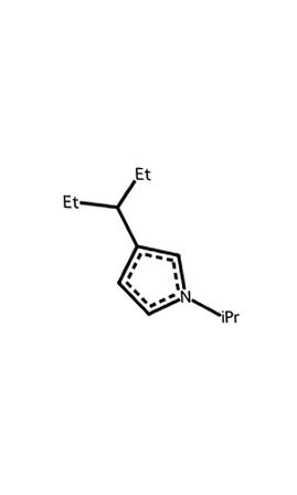 CCC(CC)c1ccn(C(C)C)c1